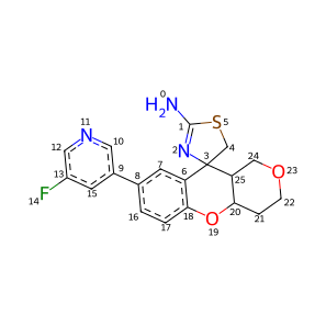 NC1=NC2(CS1)c1cc(-c3cncc(F)c3)ccc1OC1CCOCC12